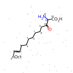 CCCCCCCCC=CCCCCCCCC(=O)C(N)C(=O)O